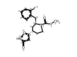 COC(=O)N1CC[C@H](c2cc(=O)[nH]o2)C[C@H]1Cc1ccccc1F